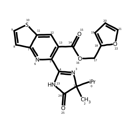 CC(C)C1(C)N=C(c2nc3ccsc3cc2C(=O)OCc2ccco2)NC1=O